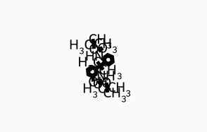 CC(C)(C)OC(=O)Nc1ccccc1C(C)(C)c1cccc(O)c1NC(=O)OC(C)(C)C